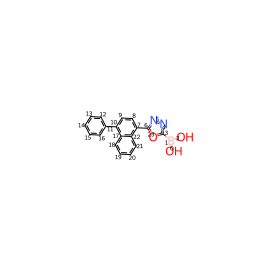 OB(O)c1nnc(-c2ccc(-c3ccccc3)c3ccccc23)o1